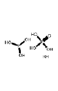 O=P(O)(O)O.OP(O)O.[KH]